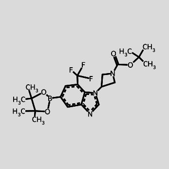 CC(C)(C)OC(=O)N1CC(n2cnc3cc(B4OC(C)(C)C(C)(C)O4)cc(C(F)(F)F)c32)C1